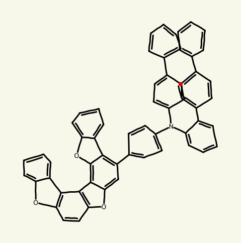 c1ccc(-c2ccc(-c3ccccc3N(c3ccc(-c4ccccc4)cc3)c3ccc(-c4cc5oc6ccc7oc8ccccc8c7c6c5c5oc6ccccc6c45)cc3)cc2)cc1